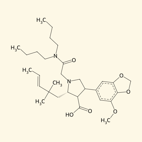 CC=CC(C)(C)C[C@H]1C(C(=O)O)C(c2cc(OC)c3c(c2)OCO3)CN1CC(=O)N(CCCC)CCCC